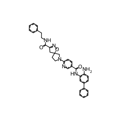 Nc1ccc(-c2ccccc2)cc1NC(=O)c1ccc(N2CCC3(CC(C(=O)NCCc4ccccc4)=NO3)C2)nc1